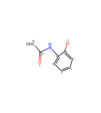 [O]c1ccccc1NC(=O)C=O